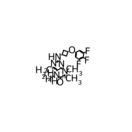 [2H]C([2H])([2H])N1C(=O)[C@H](C)N(C)c2nc(N[C@H]3C[C@H](Oc4cc(F)c(F)c(F)c4)C3)nc(C)c21